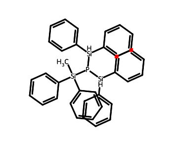 C[Si](c1ccccc1)(c1ccccc1)P([SiH](c1ccccc1)c1ccccc1)[SiH](c1ccccc1)c1ccccc1